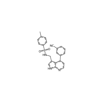 Cc1ccc(S(=O)(=O)NCc2c[nH]c3nccc(-c4cccc(C#N)c4)c23)cc1